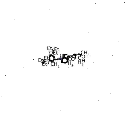 C=C1C(O[Si](CC)(CC)CC)C[C@H](O[Si](CC)(CC)CC)C[C@H]1C/C=C1\CCC[C@]2(C)[C@@H]([C@@H]3C[C@H](CC(C)(C)O)CO3)CC[C@@H]12